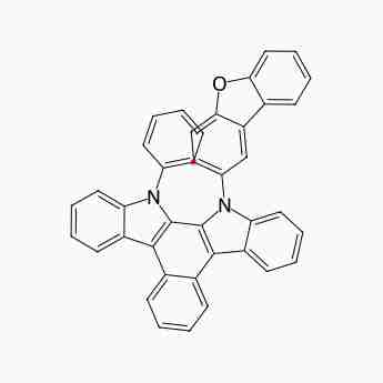 c1ccc(-n2c3ccccc3c3c4ccccc4c4c5ccccc5n(-c5ccc6oc7ccccc7c6c5)c4c32)cc1